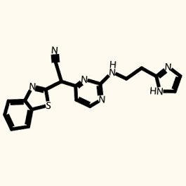 N#CC(c1ccnc(NCCc2ncc[nH]2)n1)c1nc2ccccc2s1